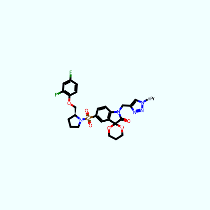 CCCn1cc(CN2C(=O)C3(OCCCO3)c3cc(S(=O)(=O)N4CCC[C@H]4COc4ccc(F)cc4F)ccc32)nn1